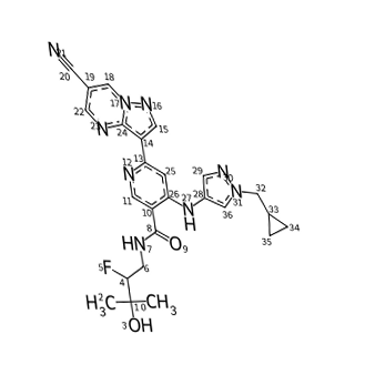 CC(C)(O)C(F)CNC(=O)c1cnc(-c2cnn3cc(C#N)cnc23)cc1Nc1cnn(CC2CC2)c1